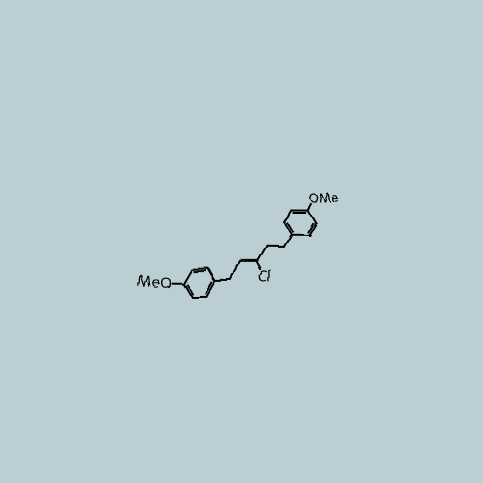 COc1ccc(CCC(Cl)CCc2ccc(OC)cc2)cc1